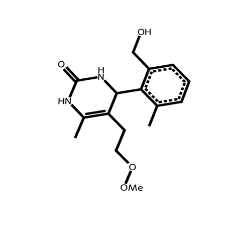 COOCCC1=C(C)NC(=O)NC1c1c(C)cccc1CO